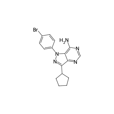 Nc1ncnc2c(C3CCCC3)nn(-c3ccc(Br)cc3)c12